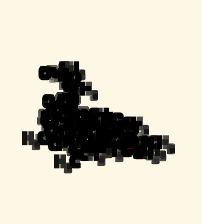 CCCCN(CC(=O)N(C)[C@@H](CC(C)C)C(=O)N(C)[C@@H](CC(C)C)C(=O)N[C@@H](COC(C)(C)C)C(=O)N(C)[C@@H](CC(C)C)C(=O)NC(CC(=O)N(C)CC(=O)N(C)CC=O)C(=O)N1CCCCC1)C(=O)C(NC(=O)[C@H](CC(C)C)N(C)C)[C@@H](C)O